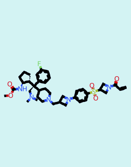 C=CC(=O)N1CC(S(=O)(=O)c2ccc(N3CC(CN4CCC([C@@](CN(C)C)(c5cccc(F)c5)[C@H]5CCC[C@@H]5NC(=O)OC)CC4)C3)cc2)C1